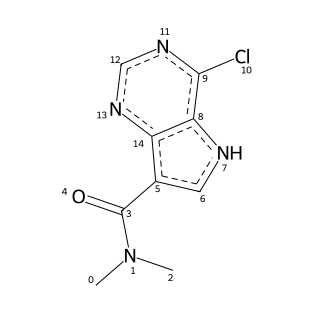 CN(C)C(=O)c1c[nH]c2c(Cl)ncnc12